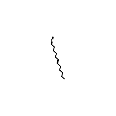 C=C=CCCCCC=CCCCCC